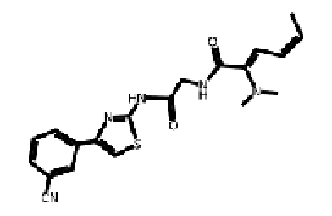 C/C=C\C=C(\C(=O)NCC(=O)Nc1nc(-c2cccc(C#N)c2)cs1)N(C)C